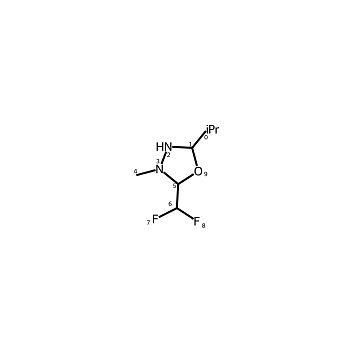 CC(C)C1NN(C)C(C(F)F)O1